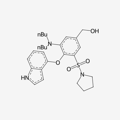 CCCCN(CCCC)c1cc(CO)cc(S(=O)(=O)N2CCCC2)c1Oc1cccc2[nH]ccc12